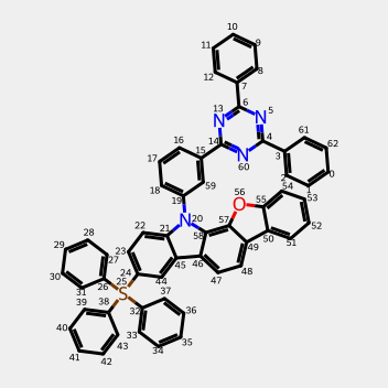 c1ccc(-c2nc(-c3ccccc3)nc(-c3cccc(-n4c5ccc(S(c6ccccc6)(c6ccccc6)c6ccccc6)cc5c5ccc6c7ccccc7oc6c54)c3)n2)cc1